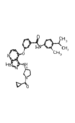 Cc1cc(NC(=O)c2cccc(Oc3ccnc4[nH]nc(N[C@H]5CCN(C(=O)C6CC6)C5)c34)c2)ccc1C(C)C